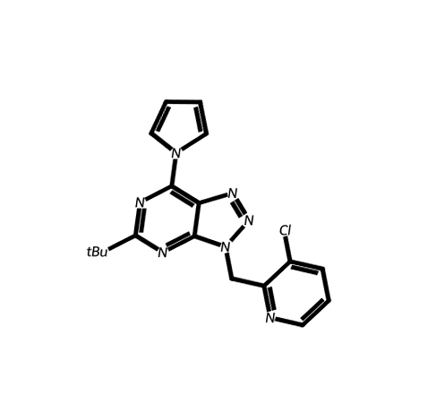 CC(C)(C)c1nc(-n2cccc2)c2nnn(Cc3ncccc3Cl)c2n1